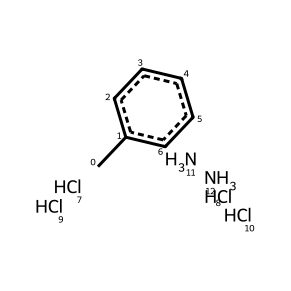 Cc1ccccc1.Cl.Cl.Cl.Cl.N.N